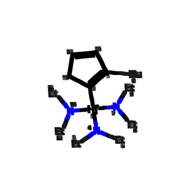 CCC(C)C1=[C]([Hf]([N](CC)CC)([N](CC)CC)[N](CC)CC)CC=C1